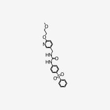 COCCOc1ccc(CNC(=O)Nc2ccc(S(=O)(=O)c3ccccc3)cc2)cn1